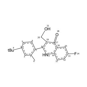 Cc1cc(C(C)(C)C)ccc1-c1[nH]c2ccc(F)cc2c(=O)c1CO